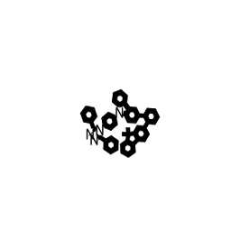 CC1(C)c2ccccc2-c2ccc(-c3ccccc3-c3ccc4c(c3)c3ccccc3n4-c3ccc(-n4c(-c5ccccc5)nnc4-c4ccccc4)cc3)cc21